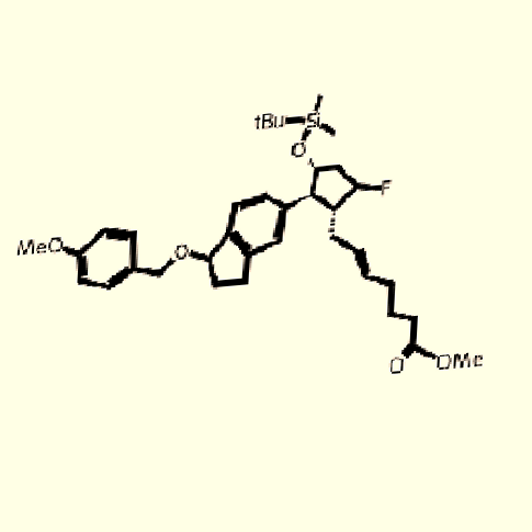 COC(=O)CCCC=CC[C@H]1C(F)C[C@@H](O[Si](C)(C)C(C)(C)C)[C@@H]1c1ccc2c(c1)CCC2OCc1ccc(OC)cc1